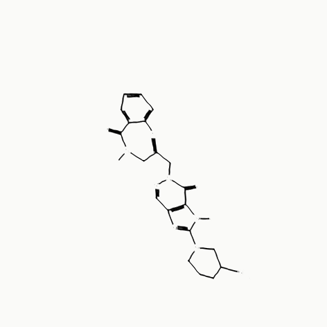 CCn1c(N2CCCC(N)C2)nc2cnn(CC3=Nc4ccccc4C(=O)N(C)C3)c(=O)c21